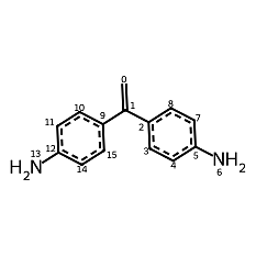 C=C(c1ccc(N)cc1)c1ccc(N)cc1